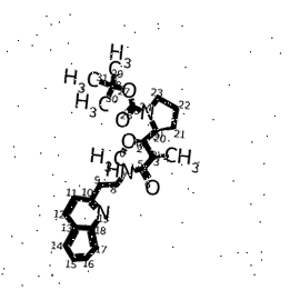 CO[C@H]([C@@H](C)C(=O)NCCc1ccc2ccccc2n1)[C@@H]1CCCN1C(=O)OC(C)(C)C